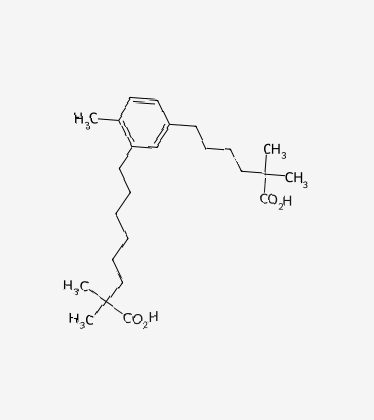 Cc1ccc(CCCCC(C)(C)C(=O)O)cc1CCCCCCC(C)(C)C(=O)O